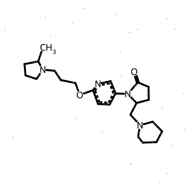 CC1CCCN1CCCOc1ccc(N2C(=O)CCC2CN2CCCCC2)cn1